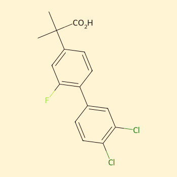 CC(C)(C(=O)O)c1ccc(-c2ccc(Cl)c(Cl)c2)c(F)c1